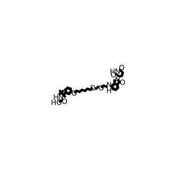 CC(C)(C)C(C)(NC(=O)O)c1cccc(OCCCCCCOCCOCCNc2cccc3c2CN(C2CCC(=O)NC2=O)C3=O)c1